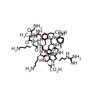 C[C@H](NC(=O)CN)C(=O)N[C@@H](CCCCN)C(=O)N[C@@H](Cc1ccccc1)C(=O)N[C@H](CCCCN)C(=O)N[C@@H](CCC(=O)O)C(=O)N[C@@H](CCCNC(=N)N)C(=O)N[C@@H](Cc1ccc(O)cc1)C(=O)N[C@@H](Cc1c[nH]cn1)C(=O)N[C@H](CCCNC(=N)N)C(=O)O